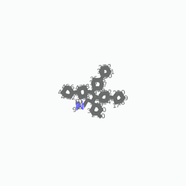 Cc1ccc(/C(CCN(C)C)=C(\c2ccc(-c3ccccc3)cc2)C(c2ccc(-c3ccccc3)cc2)c2ccc(-c3ccccc3)cc2)cc1